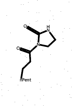 CCCCCCCC(=O)N1CCNC1=O